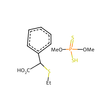 CCSC(C(=O)O)c1ccccc1.COP(=S)(S)OC